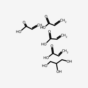 C=CC(=O)O.C=CC(=O)O.C=CC(=O)O.C=CC(=O)O.OCC(O)CO